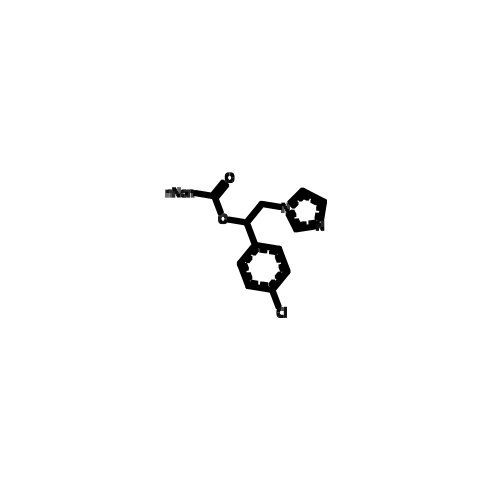 CCCCCCCCCC(=O)OC(Cn1ccnc1)c1ccc(Cl)cc1